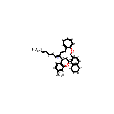 O=C(O)CCCC/C=C(\CCC1=CCC=CC=C1OCc1ccc2c(c1)CCCC2)C1CCOc2cc(C(=O)O)ccc21